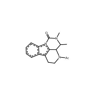 CC(=O)N1CCc2c3n(c4ccccc24)C(=O)N(C)C(C)C31